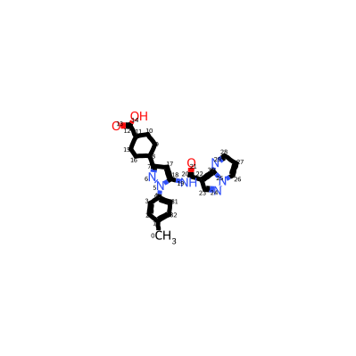 Cc1ccc(-n2nc(C3CCC(C(=O)O)CC3)cc2NC(=O)c2cnn3cccnc23)cc1